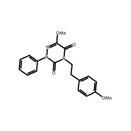 COc1ccc(CCn2c(=O)c(OC)nn(-c3ccccc3)c2=O)cc1